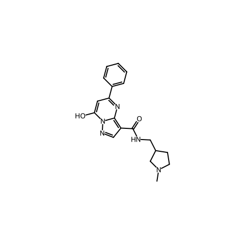 CN1CCC(CNC(=O)c2cnn3c(O)cc(-c4ccccc4)nc23)C1